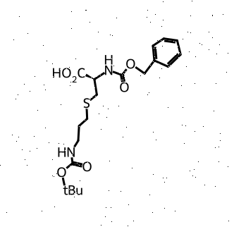 CC(C)(C)OC(=O)NCCCSC[C@H](NC(=O)OCc1ccccc1)C(=O)O